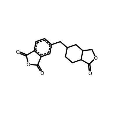 O=C1OC(=O)c2cc(CC3CCC4C(=O)OCC4C3)ccc21